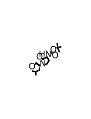 CC(C)C[C@@H](C=O)N1CC[C@H](NC(=O)OC(C)(C)C)C1=O